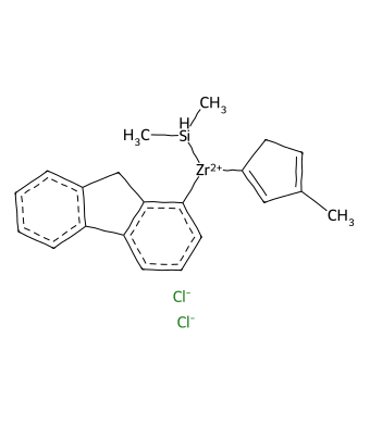 CC1=CC[C]([Zr+2]([c]2cccc3c2Cc2ccccc2-3)[SiH](C)C)=C1.[Cl-].[Cl-]